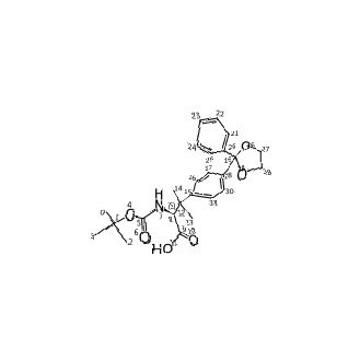 CC(C)(C)OC(=O)N[C@H](C(=O)O)C(C)(C)c1ccc(C2(c3ccccc3)OCCO2)cc1